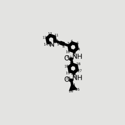 O=C(Nc1cccc(C#Cc2ccccn2)c1)c1ccc(NC(=O)C2CC2)cc1